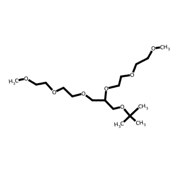 COCCOCCOCC(COC(C)(C)C)OCCOCCOC